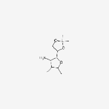 CC1OC(C2COC(C)(C)O2)C(N)C1C